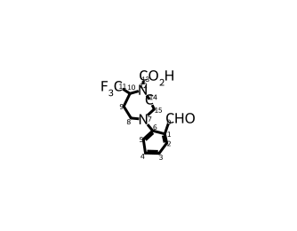 O=Cc1ccccc1N1CCC(C(F)(F)F)N(C(=O)O)CC1